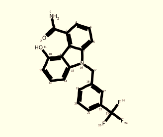 NC(=O)c1cccc2c1c1c(O)cccc1n2Cc1cccc(C(F)(F)F)c1